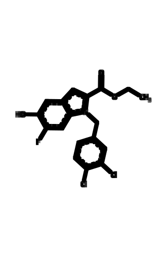 CCOC(=O)c1cc2cc(O)c(F)cc2n1Cc1ccc(Cl)c(Cl)c1